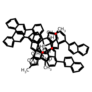 Cc1ccc(C2=Cc3c(-c4ccc5ccccc5c4)cccc3[C]23[SiH](C)[C]2(C(c4ccc(C)o4)=Cc4c(-c5ccc6ccccc6c5)cccc42)[Hf]32([Cl])([Cl])[C]3(C(c4ccc(C)o4)=Cc4c(-c5ccc6ccccc6c5)cccc43)[SiH](C)[C]23C(c2ccc(C)o2)=Cc2c(-c4ccc5ccccc5c4)cccc23)o1